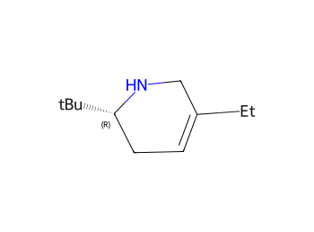 CCC1=CC[C@H](C(C)(C)C)NC1